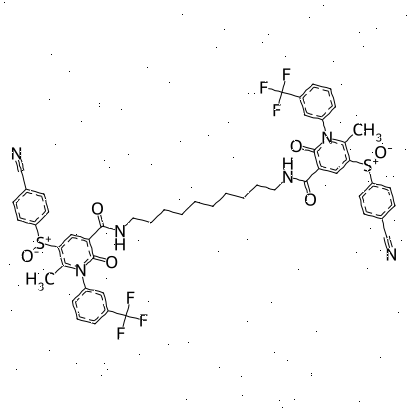 Cc1c([S+]([O-])c2ccc(C#N)cc2)cc(C(=O)NCCCCCCCCCCNC(=O)c2cc([S+]([O-])c3ccc(C#N)cc3)c(C)n(-c3cccc(C(F)(F)F)c3)c2=O)c(=O)n1-c1cccc(C(F)(F)F)c1